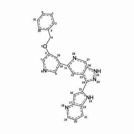 c1ccc(COc2cncc(-c3cc4c(-c5cc6ncccc6[nH]5)n[nH]c4cn3)c2)cc1